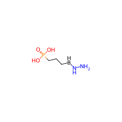 NNBCCCP(=O)(O)O